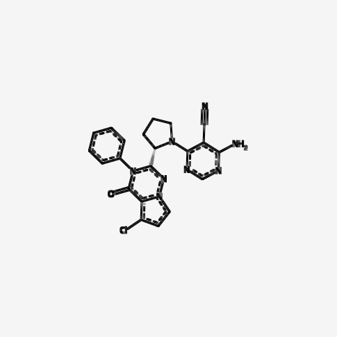 N#Cc1c(N)ncnc1N1CCC[C@H]1c1nn2ccc(Cl)c2c(=O)n1-c1ccccc1